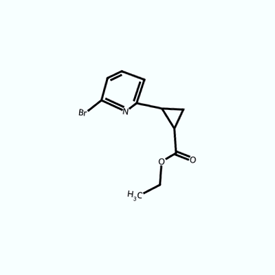 CCOC(=O)C1CC1c1cccc(Br)n1